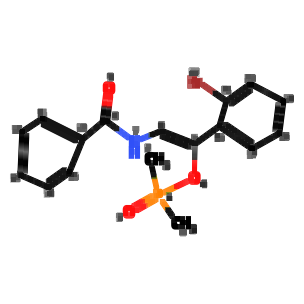 CP(C)(=O)OC(=CNC(=O)c1ccccc1)c1ccccc1Br